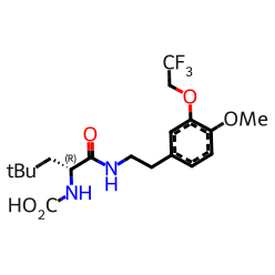 COc1ccc(CCNC(=O)[C@@H](CC(C)(C)C)NC(=O)O)cc1OCC(F)(F)F